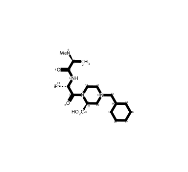 CN[C@@H](C)C(=O)N[C@H](C(=O)N1CCN(CC2CCCCC2)C[C@H]1C(=O)O)C(C)C